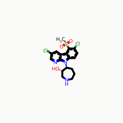 CS(=O)(=O)c1c(Cl)ccc2c1c1cc(Cl)cnc1n2[C@H]1CCCNC[C@@H]1O